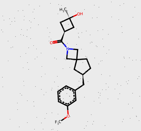 C[C@]1(O)C[C@@H](C(=O)N2CC3(CC[C@@H](Cc4cccc(OC(F)(F)F)c4)C3)C2)C1